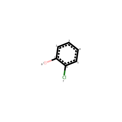 [B]c1ccccc1Cl